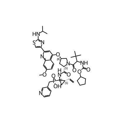 C=C[C@@H]1C[C@]1(NC(=O)[C@@H]1C[C@@H](Oc2cc(-c3csc(NC(C)C)n3)nc3cc(OC)ccc23)CN1C(=O)C(NC(=O)OC1CCCC1)C(C)(C)C)P(=O)(O)Cc1cccnc1